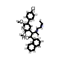 C/C=C\C=C(/C)C(c1cc(-c2ccc(Cl)cc2)c(OC)nc1OC)C(O)c1cccc2ccccc12